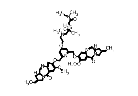 C/C=C1\C[C@H]2C=Nc3cc(OCc4cc(OCCN(C)CC(C)(C)SCC(=O)N(C)CC)cc(COc5cc6c(cc5OC)C(=O)N5C/C(=C/C)C[C@H]5C=N6)n4)c(OC)cc3C(=O)N2C1